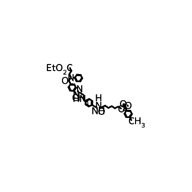 CCOC(=O)CCN(C(=O)c1ccc2c(c1)nc(CNc1ccc(C(=N)NC(=O)CCCCCOS(=O)(=O)c3ccc(C)cc3)cc1)n2C)c1ccccc1